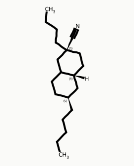 CCCCC[C@H]1CCC2C[C@](C#N)(CCCC)CC[C@@H]2C1